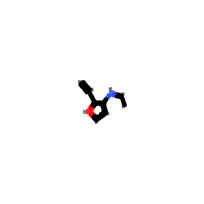 C#Cc1occc1/N=C\C